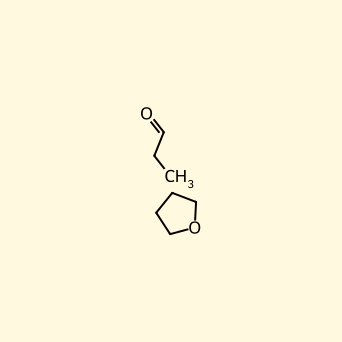 C1CCOC1.CCC=O